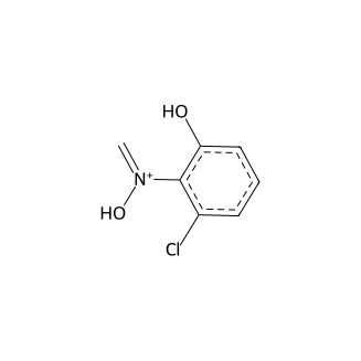 C=[N+](O)c1c(O)cccc1Cl